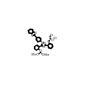 CCOP(OCC)Oc1ccccc1-c1nc(C2=CC=CCC2OP(OC)OC)n(-c2ccc(-c3nc4ccccc4s3)cc2)n1